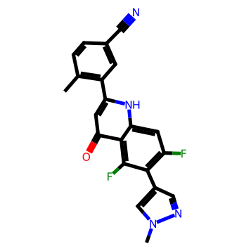 Cc1ccc(C#N)cc1-c1cc(=O)c2c(F)c(-c3cnn(C)c3)c(F)cc2[nH]1